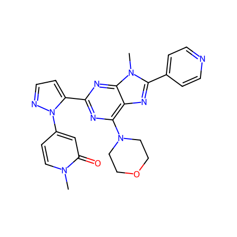 Cn1ccc(-n2nccc2-c2nc(N3CCOCC3)c3nc(-c4ccncc4)n(C)c3n2)cc1=O